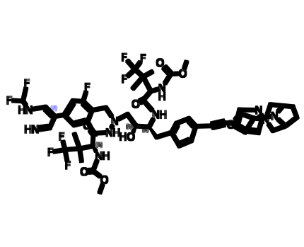 COC(=O)NC(C(=O)N[C@@H](Cc1ccc(C#Cc2ccc(N3C4CCC3CN(C3COC3)C4)nc2)cc1)[C@@H](O)CN(Cc1c(F)cc(/C(C=N)=C/NC(F)F)cc1F)NC(=O)[C@@H](NC(=O)OC)C(C)(C)C(F)(F)F)C(C)(C)C(F)(F)F